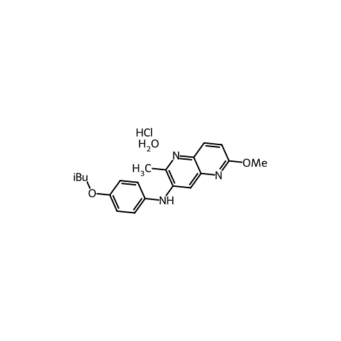 CCC(C)Oc1ccc(Nc2cc3nc(OC)ccc3nc2C)cc1.Cl.O